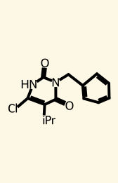 CC(C)c1c(Cl)[nH]c(=O)n(Cc2ccccc2)c1=O